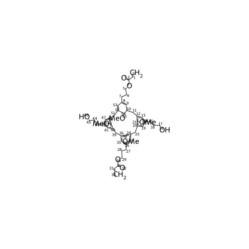 C=CC(=O)OCCCC1=CC2Cc3cc(CCCO)cc(c3OC)Cc3cc(CCCOC(=O)C=C)cc(c3OC)Cc3cc(CCCO)cc(c3OC)CC(=C1)C2OC